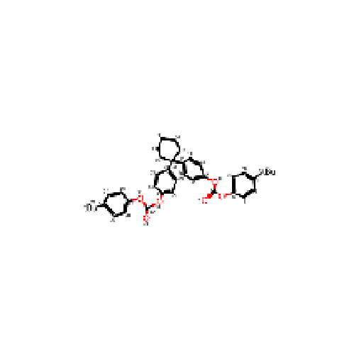 CC(C)(C)c1ccc(OC(=O)Oc2ccc(C3(c4ccc(OC(=O)Oc5ccc(C(C)(C)C)cc5)cc4)CCCCC3)cc2)cc1